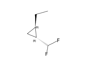 CC[C@@H]1C[C@H]1C(F)F